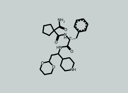 NC(=O)C1(C(=O)N[C@H](Cc2ccccc2)C(=O)NC(CC2OCCCO2)C2CCNCC2)CCCC1